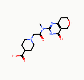 CN(C(=O)CN1CCC(C(=O)O)CC1)c1nc2c(c(=O)[nH]1)COCC2